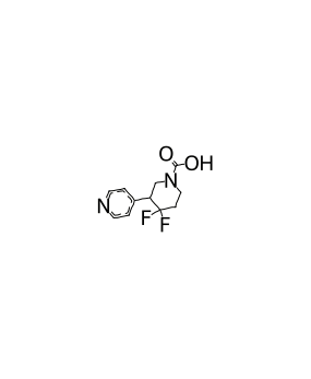 O=C(O)N1CCC(F)(F)C(c2ccncc2)C1